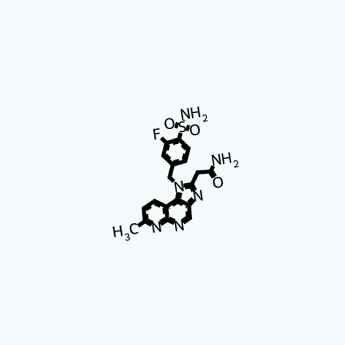 Cc1ccc2c(ncc3nc(CC(N)=O)n(Cc4ccc(S(N)(=O)=O)c(F)c4)c32)n1